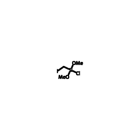 CO[Si](Cl)(CI)OC